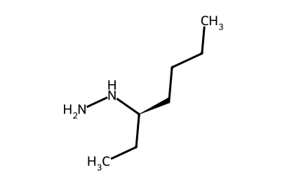 CCCC[C@@H](CC)NN